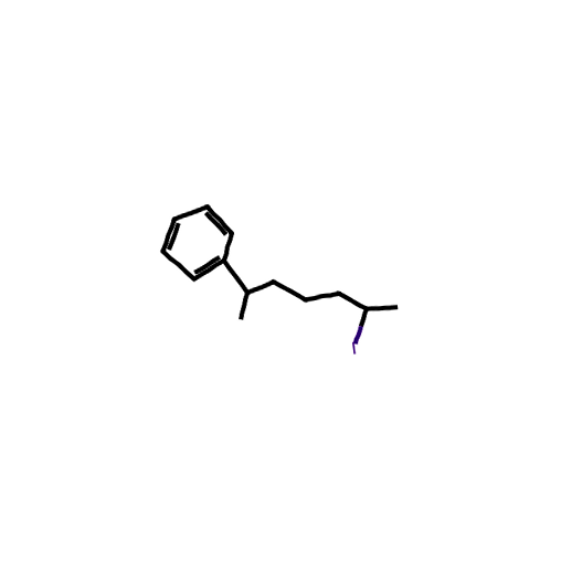 CC(I)CCCC(C)c1ccccc1